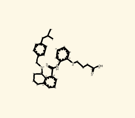 CC(C)Cc1ccc(COC2CCCc3cccc(C(=O)Nc4ccccc4SCCCC(=O)O)c32)cc1